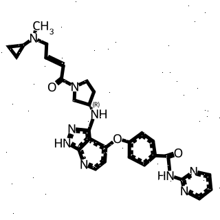 CN(CC=CC(=O)N1CC[C@@H](Nc2n[nH]c3nccc(Oc4ccc(C(=O)Nc5ncccn5)cc4)c23)C1)C1CC1